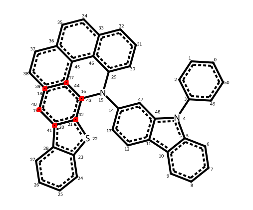 c1ccc(-n2c3ccccc3c3ccc(N(c4cccc5c4sc4ccccc45)c4cccc5ccc6ccc7ccccc7c6c45)cc32)cc1